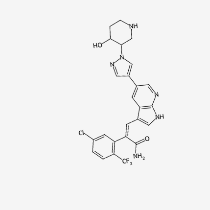 NC(=O)/C(=C\c1c[nH]c2ncc(-c3cnn(C4CNCCC4O)c3)cc12)c1cc(Cl)ccc1C(F)(F)F